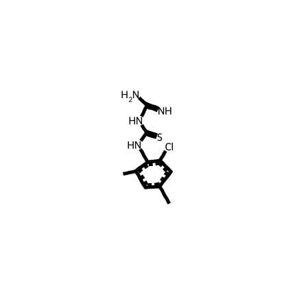 Cc1cc(C)c(NC(=S)NC(=N)N)c(Cl)c1